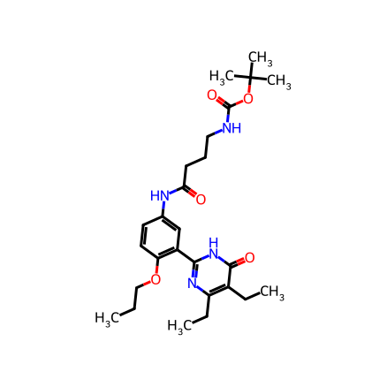 CCCOc1ccc(NC(=O)CCCNC(=O)OC(C)(C)C)cc1-c1nc(CC)c(CC)c(=O)[nH]1